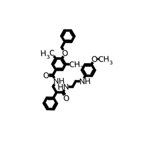 COc1ccc(NCCNC(=O)C(CNC(=O)c2cc(C)c(OCc3ccccc3)c(C)c2)c2ccccc2)cc1